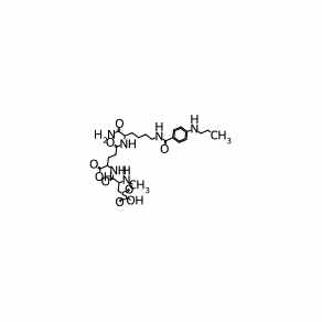 CCCNc1ccc(C(=O)NCCCCC(NC(=O)CCC(NC(=O)C(CS(=O)(=O)O)NC)C(=O)O)C(N)=O)cc1